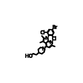 Cc1cc(N2CCC(CCO)CC2)c2c(C)c(C)n(-c3c(Cl)cc(Br)cc3Cl)c2n1